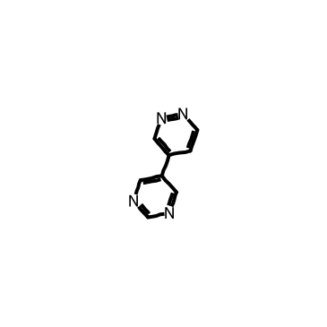 c1ncc(-c2ccnnc2)cn1